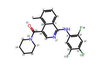 Cc1cccc2c(Nc3cc(F)c(F)cc3F)ncc(C(=O)N3CCCCC3)c12